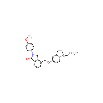 CCOC(=O)C[C@@H]1CCc2cc(OCc3cccc4c3CN(c3ccc(OC(F)(F)F)cc3)C4=O)ccc21